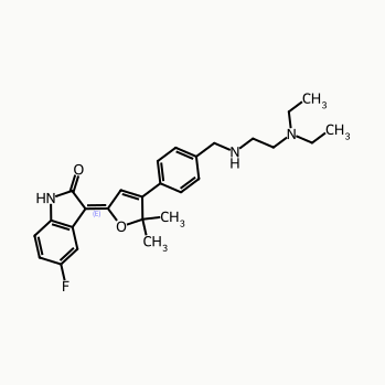 CCN(CC)CCNCc1ccc(C2=C/C(=C3\C(=O)Nc4ccc(F)cc43)OC2(C)C)cc1